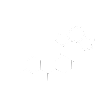 C[C@@H]1CCN(C(=O)c2cccc(C(F)(F)F)c2)C[C@@H]1c1ncc2cnc3[nH]ccc3n12